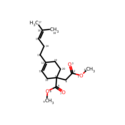 COC(=O)CC1(C(=O)OC)CC=C(CCC=C(C)C)CC1